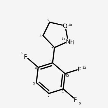 Fc1ccc(F)c(C2CCON2)c1F